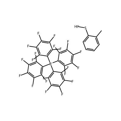 Cc1ccccc1S[IH+].Fc1c(F)c(F)c([B-](c2c(F)c(F)c(F)c(F)c2F)(c2c(F)c(F)c(F)c(F)c2F)c2c(F)c(F)c(F)c(F)c2F)c(F)c1F